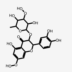 CC1OC(OC2C(=O)c3c(O)cc(OO)cc3OC2c2ccc(O)c(O)c2)C(O)C(OO)C1O